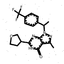 Cc1nn(C(C)c2ccc(C(F)(F)F)cc2)c2nc(C3CCOC3)[nH]c(=O)c12